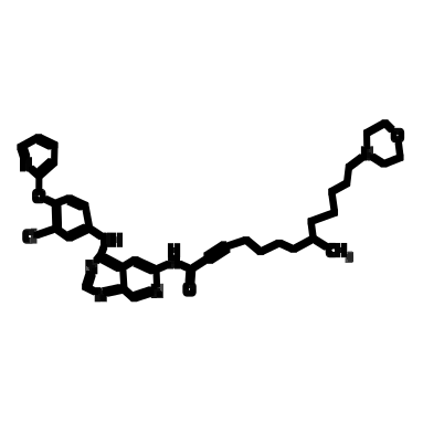 CC(CCCCC#CC(=O)Nc1cc2c(Nc3ccc(Oc4ccccn4)c(Cl)c3)ncnc2cn1)CCCCCN1CCOCC1